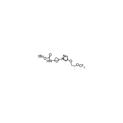 C[C@H](COc1cnn(C23CC(NC(=O)OC(C)(C)C)(C2)C3)c1)OC(F)(F)F